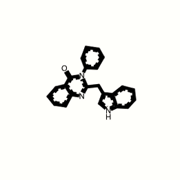 O=c1c2ccccc2nc(Cc2c[nH]c3ccccc23)n1-c1ccccc1